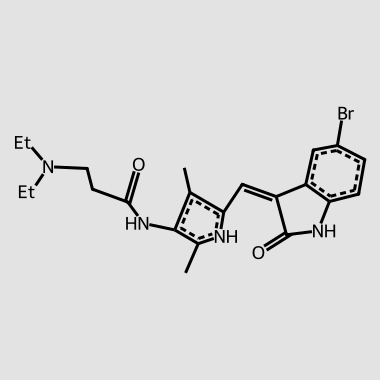 CCN(CC)CCC(=O)Nc1c(C)[nH]c(/C=C2\C(=O)Nc3ccc(Br)cc32)c1C